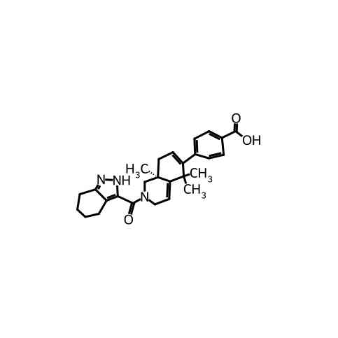 CC1(C)C(c2ccc(C(=O)O)cc2)=CC[C@]2(C)CN(C(=O)c3[nH]nc4c3CCCC4)CC=C12